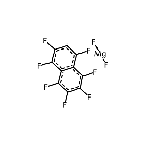 Fc1[c]c(F)c2c(F)c(F)c(F)c(F)c2c1F.[F][Mg][F]